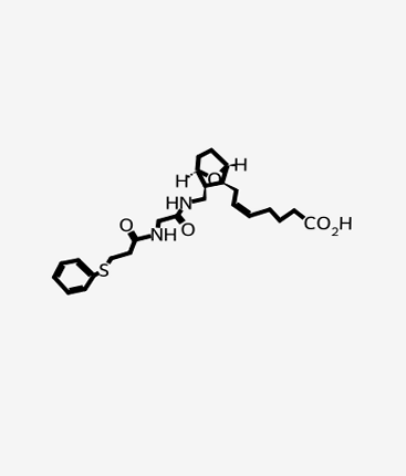 O=C(O)CCC/C=C\C[C@H]1[C@@H](CNC(=O)CNC(=O)CCSc2ccccc2)[C@H]2CC[C@@H]1O2